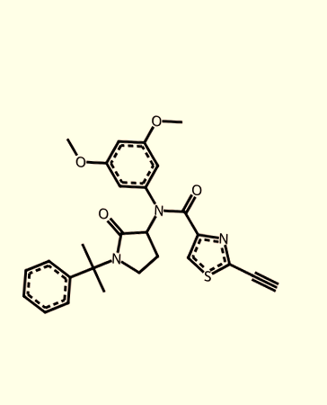 C#Cc1nc(C(=O)N(c2cc(OC)cc(OC)c2)C2CCN(C(C)(C)c3ccccc3)C2=O)cs1